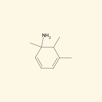 CC1=CC=CC(C)(N)C1C